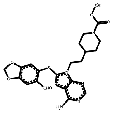 CC(C)(C)OC(=O)N1CCC(CCn2c(Sc3cc4c(cc3C=O)OCO4)nc3c(N)ncnc32)CC1